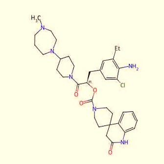 CCc1cc(C[C@@H](OC(=O)N2CCC3(CC2)CC(=O)Nc2ccccc23)C(=O)N2CCC(N3CCCN(C)CC3)CC2)cc(Cl)c1N